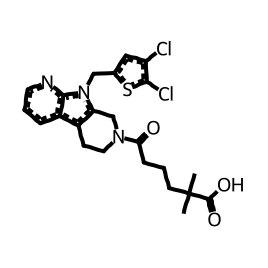 CC(C)(CCCC(=O)N1CCc2c(n(Cc3cc(Cl)c(Cl)s3)c3ncccc23)C1)C(=O)O